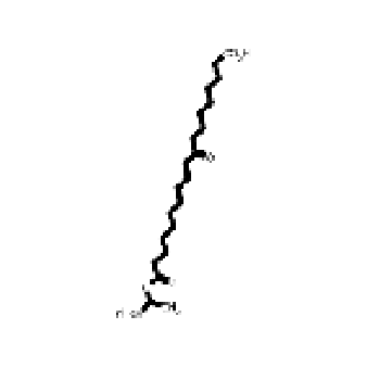 CCCCCCC(C)OC(=O)CCCCCCCCCC(=O)CCCCCCCC(=O)O